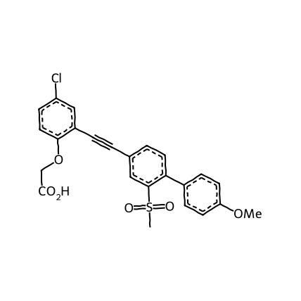 COc1ccc(-c2ccc(C#Cc3cc(Cl)ccc3OCC(=O)O)cc2S(C)(=O)=O)cc1